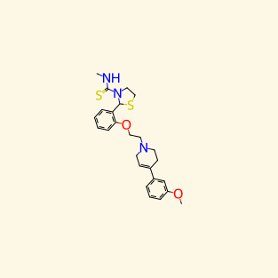 CNC(=S)N1CCSC1c1ccccc1OCCN1CC=C(c2cccc(OC)c2)CC1